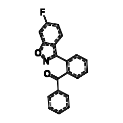 O=C(c1ccccc1)c1ccccc1-c1noc2cc(F)ccc12